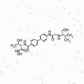 CC(C)C(CO)NCC(=O)Nc1ccc(-c2ccc(C(=O)N[C@H](C(=O)NO)[C@@H](C)O)cc2)cc1